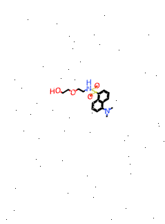 CN(C)c1cccc2c(S(=O)(=O)NCCOCCO)cccc12